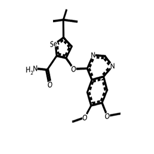 COc1cc2ncnc(Oc3cc(C(C)(C)C)[se]c3C(N)=O)c2cc1OC